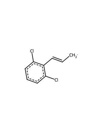 [CH2]C=Cc1c(Cl)cccc1Cl